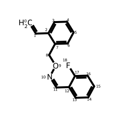 C=Cc1ccccc1CO/N=[C]\c1ccccc1F